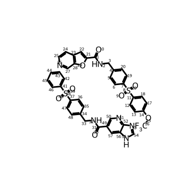 O=C(NCc1ccc(S(=O)(=O)c2ccc(OC(F)(F)F)cc2)cc1)c1cc2ccncc2o1.O=C(NCc1ccc(S(=O)(=O)c2ccccc2)cc1)c1cnc2nc[nH]c2c1